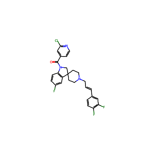 O=C(c1ccnc(Cl)c1)N1CC2(CCN(CC=Cc3ccc(F)c(F)c3)CC2)c2cc(F)ccc21